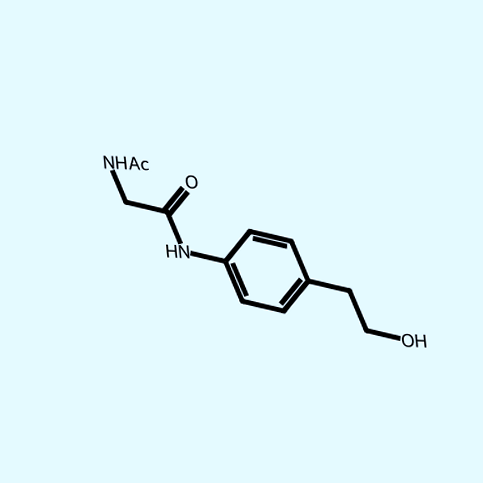 CC(=O)NCC(=O)Nc1ccc(CCO)cc1